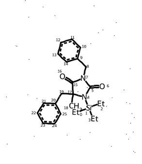 CC[Si](CC)(CC)N1C(=O)N(Cc2ccccc2)C(=O)C1(C)Cc1ccccc1